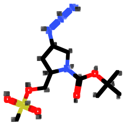 CC(C)(C)OC(=O)N1CC(N=[N+]=[N-])CC1COS(C)(=O)=O